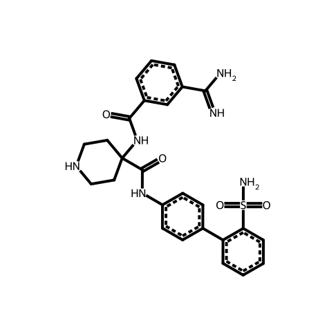 N=C(N)c1cccc(C(=O)NC2(C(=O)Nc3ccc(-c4ccccc4S(N)(=O)=O)cc3)CCNCC2)c1